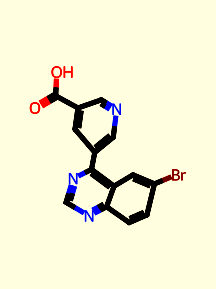 O=C(O)c1cncc(-c2ncnc3ccc(Br)cc23)c1